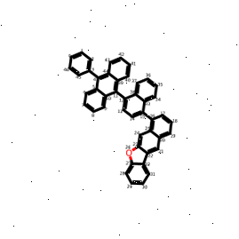 c1ccc(-c2c3ccccc3c(-c3ccc(-c4cccc5cc6c(cc45)oc4ccccc46)c4ccccc34)c3ccccc23)cc1